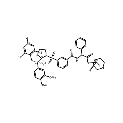 COc1ccc([C@H](Cc2c(Cl)c[n+]([O-])cc2Cl)[C@@]2(C(=O)O)SCCN2S(=O)(=O)c2cccc(C(=O)NC(C(=O)O[C@H]3CN4CCC3CC4)c3ccccc3)c2)cc1OC